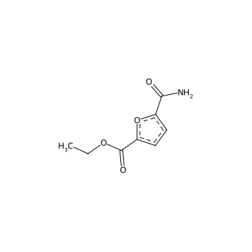 CCOC(=O)c1ccc(C(N)=O)o1